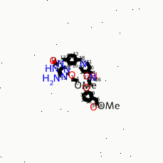 COCCOc1nc(N)c2[nH]c(=O)n(Cc3ccc(CN4CCC(O)(CN(C)CCOc5cccc(CC(=O)OC)c5)CC4)cc3)c2n1